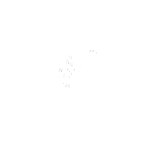 CC(C)CNCc1cc(C(=O)Nc2cccc(C3(c4nncn4C)CC(CC#N)C3)c2)nc2c1CCC2(C)C